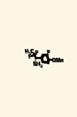 COc1ccc([C@H](N)C(C)(F)F)cc1F